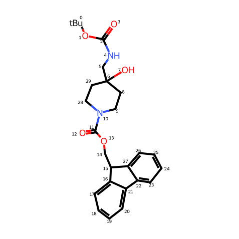 CC(C)(C)OC(=O)NCC1(O)CCN(C(=O)OCC2c3ccccc3-c3ccccc32)CC1